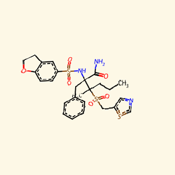 CCCC(C)(C(Cc1ccccc1)(NS(=O)(=O)c1ccc2c(c1)CCO2)C(N)=O)S(=O)(=O)Cc1cncs1